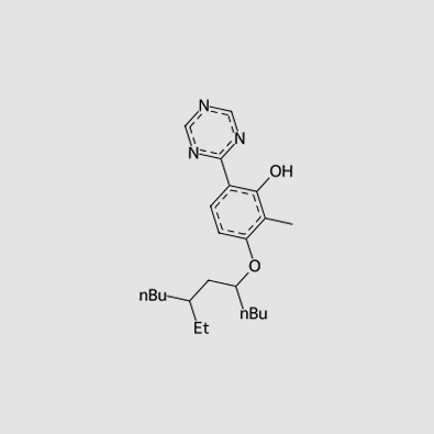 CCCCC(CC)CC(CCCC)Oc1ccc(-c2ncncn2)c(O)c1C